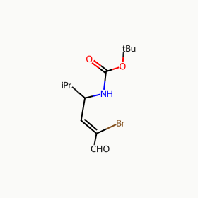 CC(C)C(C=C(Br)C=O)NC(=O)OC(C)(C)C